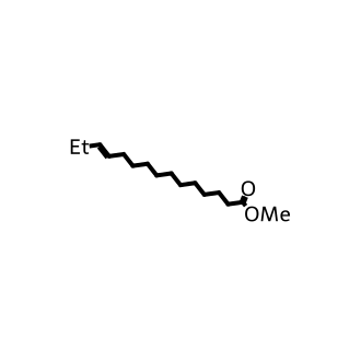 CCC=CCCCCCCCCCCC(=O)OC